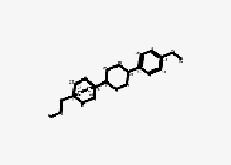 CCCC12CCC(C3CCC(c4ccc(CC)cc4)CC3)(CC1)CC2